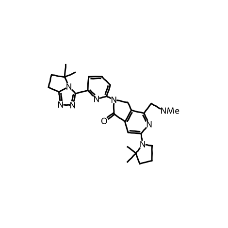 CNCc1nc(N2CCCC2(C)C)cc2c1CN(c1cccc(-c3nnc4n3C(C)(C)CC4)n1)C2=O